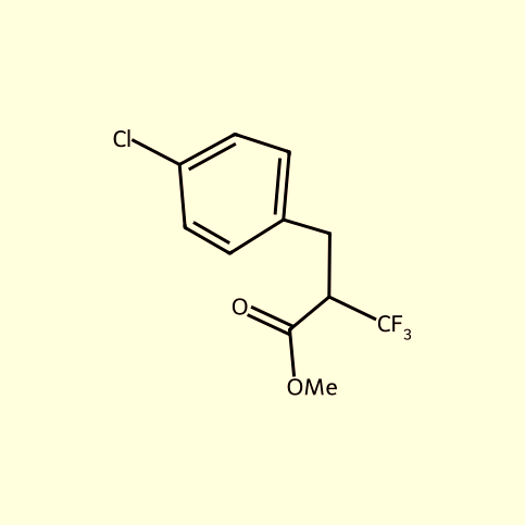 COC(=O)C(Cc1ccc(Cl)cc1)C(F)(F)F